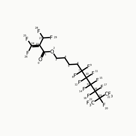 O=C(OCCCCC(F)(F)C(F)(F)C(F)(F)C(F)(F)C(F)(C(F)(F)F)C(F)(F)F)C(=C(F)F)C(F)F